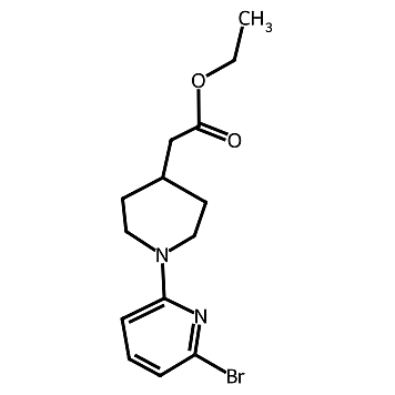 CCOC(=O)CC1CCN(c2cccc(Br)n2)CC1